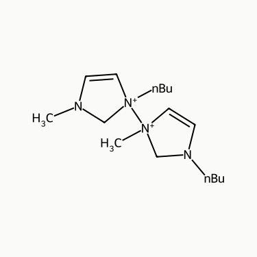 CCCCN1C=C[N+](C)([N+]2(CCCC)C=CN(C)C2)C1